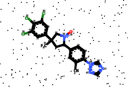 N#Cc1cc(C2CC(c3cc(Cl)c(Cl)c(Cl)c3)(C(F)(F)F)C[NH+]2[O-])ccc1-n1cncn1